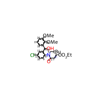 CCOC(=O)/C=C/C(=O)N(CC(C)(C)C)c1ccc(Cl)cc1[C@H](O)c1cccc(OC)c1OC